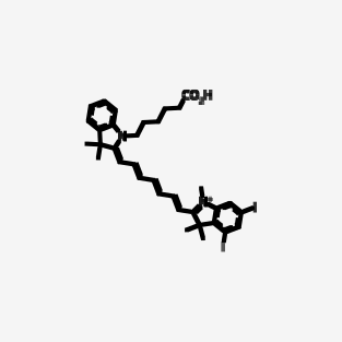 C[N+]1=C(/C=C/C=C/C=C/C=C2\N(CCCCCC(=O)O)c3ccccc3C2(C)C)C(C)(C)c2c(I)cc(I)cc21